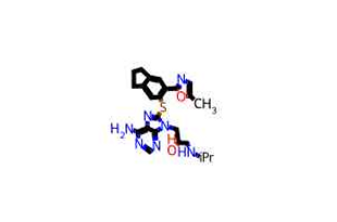 Cc1cnc(-c2cc3c(cc2Sc2nc4c(N)ncnc4n2CC(O)CNC(C)C)CCC3)o1